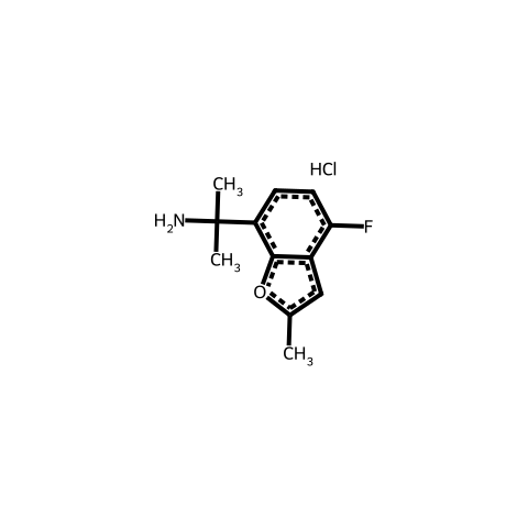 Cc1cc2c(F)ccc(C(C)(C)N)c2o1.Cl